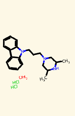 CC1CN(CCCn2c3ccccc3c3ccccc32)CC(C)N1.Cl.Cl.O